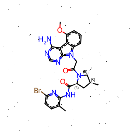 COc1cccc2c1c1c(N)ncnc1n2CC(=O)N1[C@H](C)[C@@H](C)C[C@H]1C(=O)Nc1nc(Br)ccc1C